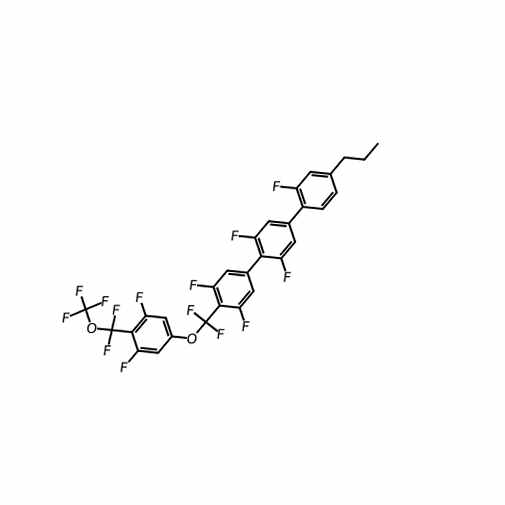 CCCc1ccc(-c2cc(F)c(-c3cc(F)c(C(F)(F)Oc4cc(F)c(C(F)(F)OC(F)(F)F)c(F)c4)c(F)c3)c(F)c2)c(F)c1